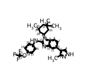 Cc1n[nH]cc1-c1ccc2c(c1)nc(Nc1ccc(OC(F)(F)F)cc1)n2[C@@H]1C[C@H](C)CC(C)(C)C1